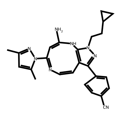 Cc1cc(C)n(-c2cc(N)[nH]c3c(ccn2)c(-c2ccc(C#N)cc2)nn3CCC2CC2)n1